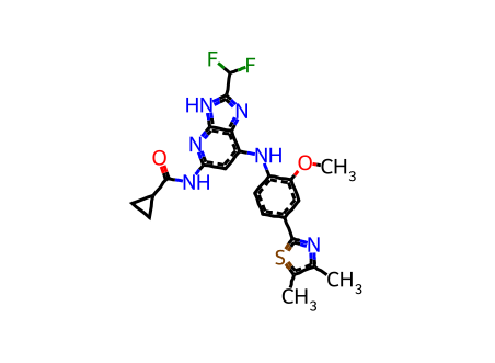 COc1cc(-c2nc(C)c(C)s2)ccc1Nc1cc(NC(=O)C2CC2)nc2[nH]c(C(F)F)nc12